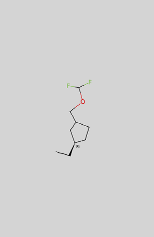 CC[C@@H]1CCC(COC(F)F)C1